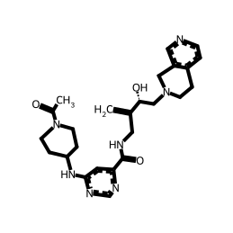 C=C(CNC(=O)c1cc(NC2CCN(C(C)=O)CC2)ncn1)[C@H](O)CN1CCc2ccncc2C1